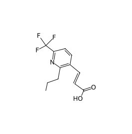 CCCc1nc(C(F)(F)F)ccc1C=CC(=O)O